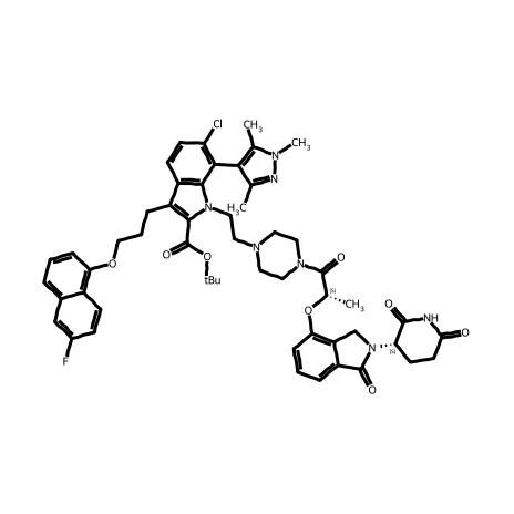 Cc1nn(C)c(C)c1-c1c(Cl)ccc2c(CCCOc3cccc4cc(F)ccc34)c(C(=O)OC(C)(C)C)n(CCN3CCN(C(=O)[C@H](C)Oc4cccc5c4CN([C@H]4CCC(=O)NC4=O)C5=O)CC3)c12